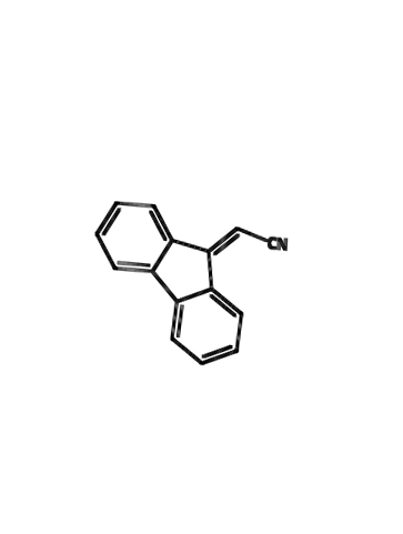 N#CC=C1c2ccccc2-c2ccccc21